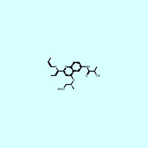 C/C=C\S/C(=C\C)c1cc(O[C@@H](C)COC)c2cc(NC(=O)C(C)C#N)ccc2n1